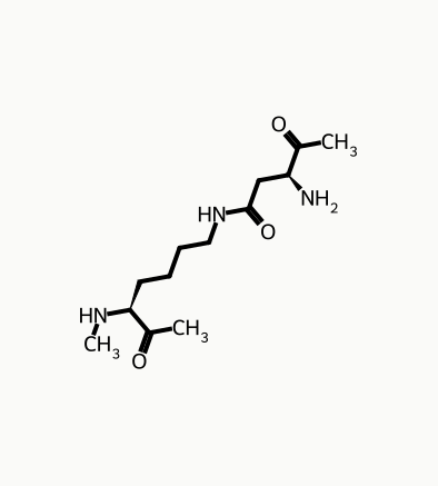 CN[C@@H](CCCCNC(=O)C[C@H](N)C(C)=O)C(C)=O